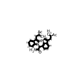 CC(=O)[C@@H](C)Cc1c[nH]c2c(C(C(N)=O)n3cc(C[C@H](C)C(C)=O)c4ccccc43)cccc12